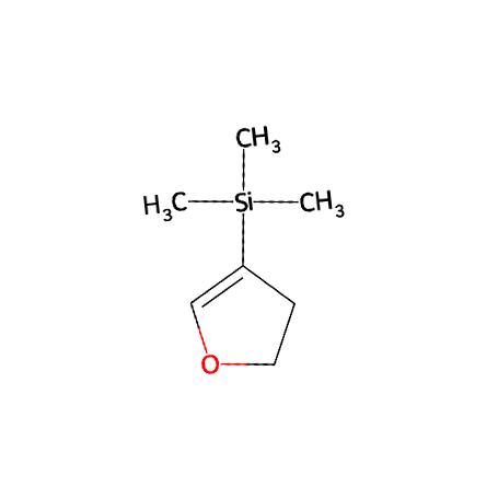 C[Si](C)(C)C1=COCC1